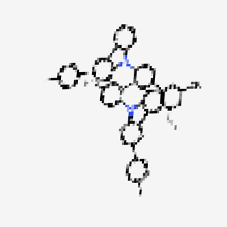 Cc1ccc(-c2ccc3c(c2)c2ccccc2n3-c2ccc(C#N)cc2-c2cc(-c3cc(C(F)(F)F)cc(C(F)(F)F)c3)ccc2-n2c3ccccc3c3cc(-c4ccc(C)cc4)ccc32)cc1